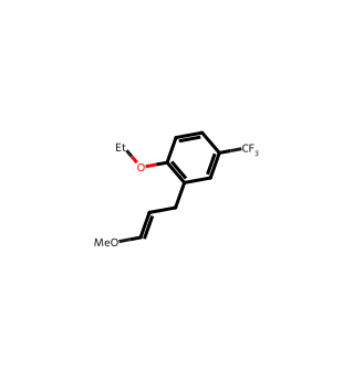 CCOc1ccc(C(F)(F)F)cc1C/C=C/OC